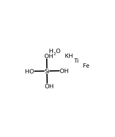 O.O[Si](O)(O)O.[Fe].[KH].[Ti]